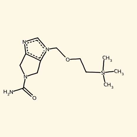 C[Si](C)(C)CCOCn1cnc2c1CN(C(N)=O)C2